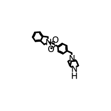 O=S(=O)(c1ccc(CN2CC3CC2CN3)cc1)N1Cc2ccccc2C1